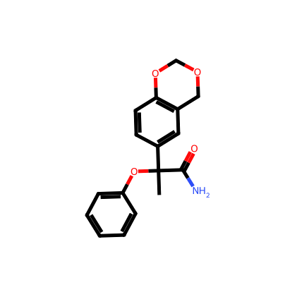 CC(Oc1ccccc1)(C(N)=O)c1ccc2c(c1)COCO2